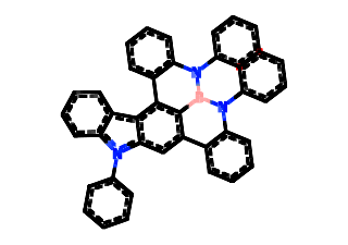 c1ccc(N2B3c4c(cc5c(c4-c4ccccc4N3c3ccccc3)c3ccccc3n5-c3ccccc3)-c3ccccc32)cc1